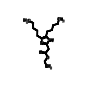 CCCCCc1nc(CC(=O)OCC)[nH]c1CCCCC